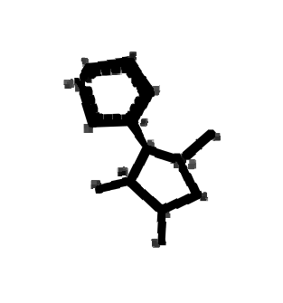 CC1CN(C)[C@H](c2cccnc2)C1C